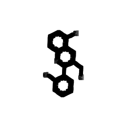 ClCc1cc2c(Cl)cccc2nc1-c1ccccc1Cl